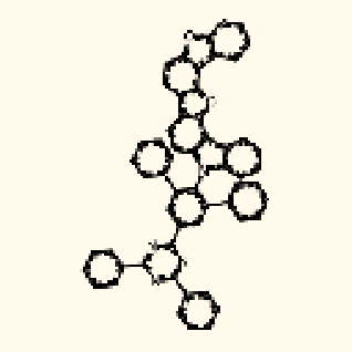 c1ccc(-c2nc(-c3ccccc3)nc(-c3cc(-c4ccccc4)c(-n4c5ccccc5c5c6oc7c(ccc8oc9ccccc9c87)c6ccc54)c(-c4ccccc4)c3)n2)cc1